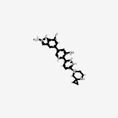 Cn1cc2cc(-c3cnc(-c4ccc(N5CCNC6(CC6)C5)nn4)c(O)c3)cc(F)c2n1